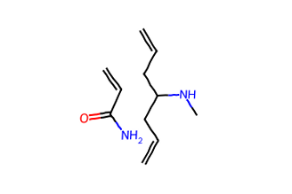 C=CC(N)=O.C=CCC(CC=C)NC